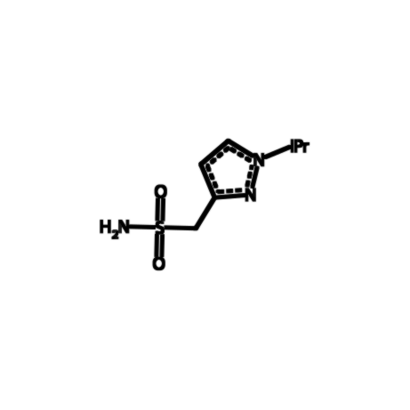 CC(C)n1ccc(CS(N)(=O)=O)n1